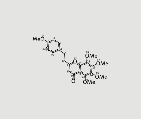 COc1ccc(CCc2cc(=O)c3c(OC)c(OC)c(OC)c(OC)c3o2)cn1